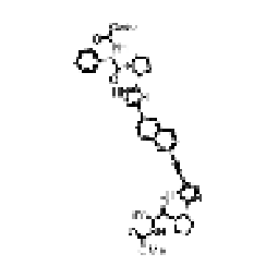 COC(=O)N[C@H](C(=O)N1CCC[C@H]1c1nc(-c2ccc3cc(C#Cc4cnc([C@@H]5CCCN5C(=O)[C@@H](NC(=O)OC)C(C)C)[nH]4)ccc3c2)c[nH]1)c1ccccc1